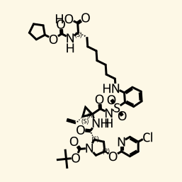 C=C[C@@H]1C[C@]1(NC(=O)[C@@H]1C[C@@H](Oc2ccc(Cl)cn2)CN1C(=O)OC(C)(C)C)C(=O)NS(=O)(=O)c1ccccc1NCCCCCCC[C@H](NC(=O)OC1CCCC1)C(=O)O